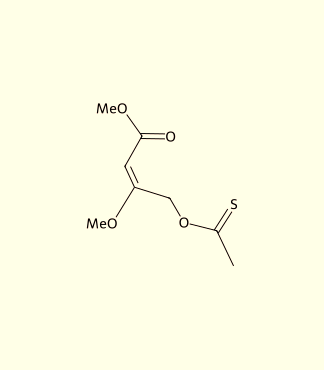 COC(=O)C=C(COC(C)=S)OC